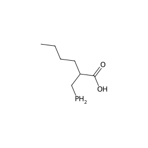 CCCCC(CP)C(=O)O